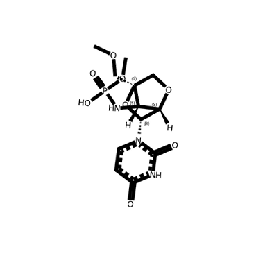 COC[C@@]12CO[C@H]([C@H](n3ccc(=O)[nH]c3=O)O1)[C@@H]2NP(=O)(O)OC